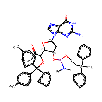 COc1ccc(C(OC(C(=O)C(C)C)[C@H]2O[C@@H](n3cnc4c(=O)[nH]c(N)nc43)C[C@@H]2OP(OCC[Si](C)(c2ccccc2)c2ccccc2)N(C(C)C)C(C)C)(c2ccccc2)c2ccc(OC)cc2)cc1